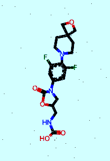 O=C(O)NCC1CN(c2cc(F)c(N3CCC4(CC3)COC4)c(F)c2)C(=O)O1